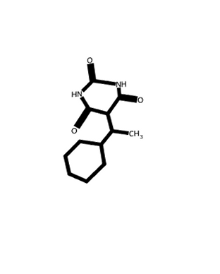 CC(C1CCCCC1)C1C(=O)NC(=O)NC1=O